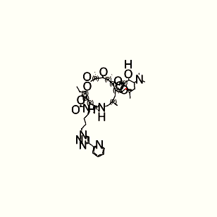 C=CC[C@@]1(OC)C[C@@H](C)CN[C@H](C)[C@H]2N(CCCCn3cc(-c4ccccn4)nn3)C(=O)O[C@]2(C)[C@@H](CC)OC(=O)[C@H](C)C(=O)[C@H](C)[C@H]1O[C@@H]1OC(C)CC(N(C)C)C1O